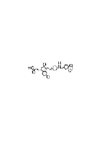 COc1ccc2c(C=CC(=O)O)cc(=O)n(CCN3CCC(NCc4ccc5c(c4)OCCO5)CC3)c2c1